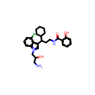 NCC(O)Cn1cc(C(CCNC(=O)c2ccccc2O)C2CCCCC2)c2c(Br)cccc21